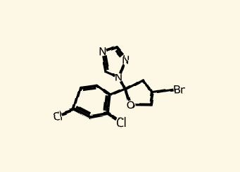 Clc1ccc(C2(n3cncn3)CC(Br)CO2)c(Cl)c1